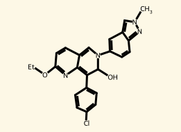 CCOc1ccc2c(n1)=C(c1ccc(Cl)cc1)C(O)N(c1ccc3nn(C)cc3c1)C=2